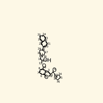 O=C(C1=Cc2c(cccc2OCC(O)CN2CCC(c3ccc4ccccc4c3)CC2)OC1)N1CCCC1